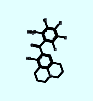 O=C(O)c1c(Cl)c(Cl)c(Cl)c(Cl)c1C(=O)c1cc2c3c(c1O)CCCN3CCC2